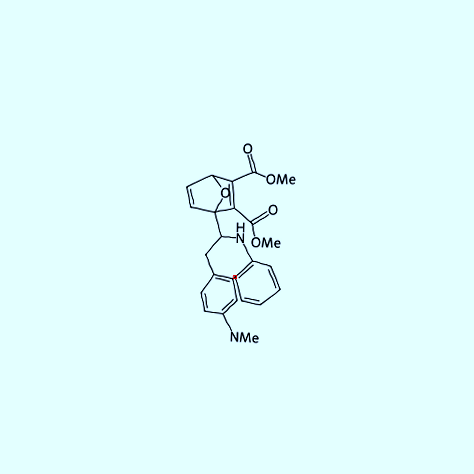 CNc1ccc(CC(Nc2ccccc2)C23C=CC(O2)C(C(=O)OC)=C3C(=O)OC)cc1